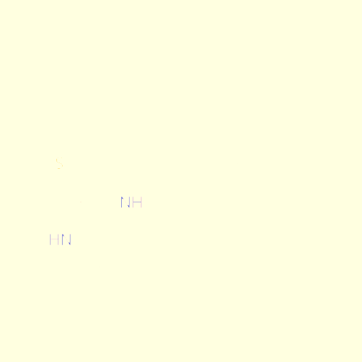 S=C1NCC(CC2CCc3ccccc3C2)N1